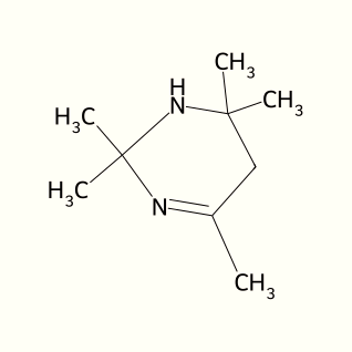 CC1=NC(C)(C)NC(C)(C)C1